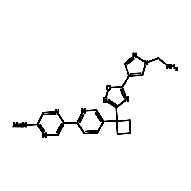 CNc1cnc(-c2ccc(C3(c4noc(-c5cnn(CN)c5)n4)CCC3)cn2)cn1